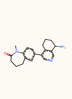 CN1C(=O)CCCc2cc(-c3cncc4c3CCCC4N)ccc21